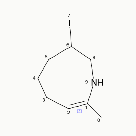 C/C1=C/CCCC(I)CN1